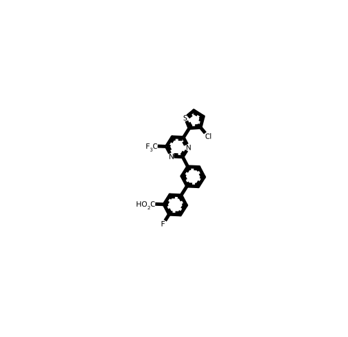 O=C(O)c1cc(-c2cccc(-c3nc(-c4sccc4Cl)cc(C(F)(F)F)n3)c2)ccc1F